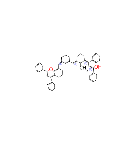 C=C1/C(=C/C2=CC(=C\C3=C4OC(c5ccccc5)=CC(c5ccccc5)=C4CCC3)/CCC2)CCC/C1=C(/C=C(\O)c1ccccc1)c1ccccc1